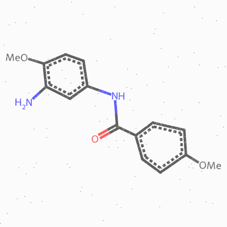 COc1ccc(C(=O)Nc2ccc(OC)c(N)c2)cc1